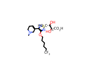 CN1CCC=C(c2nsnc2OCCCCCC(F)(F)F)C1.O=C(O)[C@H](O)[C@@H](O)C(=O)O